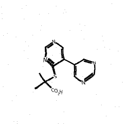 CC(C)(Sc1ncncc1-c1cncnc1)C(=O)O